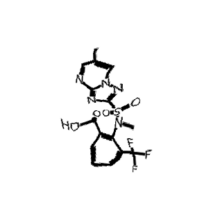 Cc1cnc2nc(S(=O)(=O)N(C)c3c(C(=O)O)cccc3C(F)(F)F)nn2c1